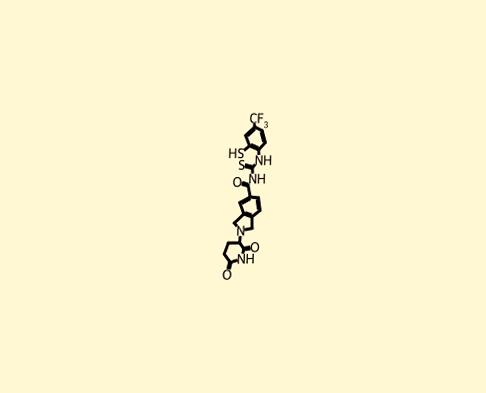 O=C1CCC(N2Cc3ccc(C(=O)NC(=S)Nc4ccc(C(F)(F)F)cc4S)cc3C2)C(=O)N1